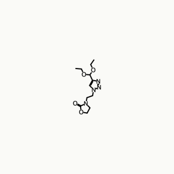 CCOC(OCC)c1cn(CCN2CCOC2=O)nn1